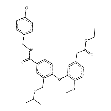 CCOC(=O)Cc1ccc(OC)c(Oc2ccc(C(=O)NCc3ccc(Cl)cc3)cc2CSC(C)C)c1